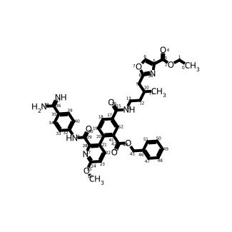 CCOC(=O)c1coc(CC(C)CCNC(=O)c2ccc(-c3ccc(OC)nc3C(=O)Nc3ccc(C(=N)N)cc3)c(C(=O)OCc3ccccc3)c2)n1